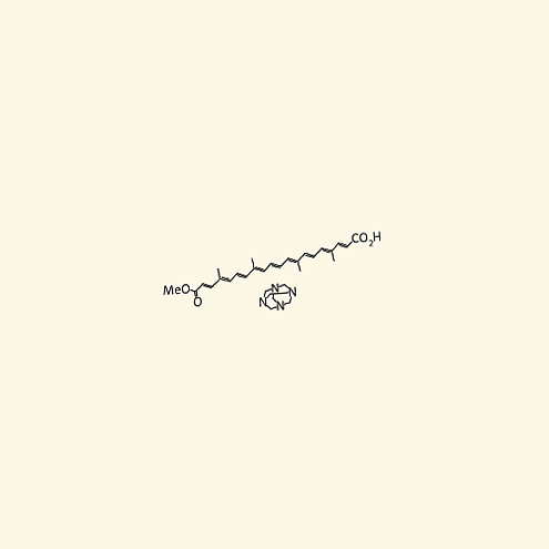 C1N2CN3CN1CN(C2)C3.COC(=O)/C=C/C(C)=C/C=C/C(C)=C/C=C/C=C(C)/C=C/C=C(C)/C=C/C(=O)O